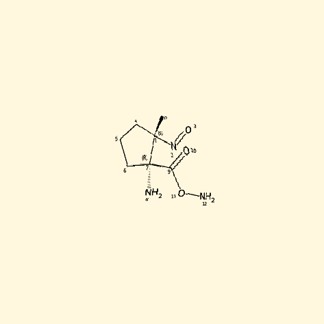 C[C@]1(N=O)CCC[C@]1(N)C(=O)ON